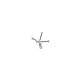 C[SH](=O)(I)I